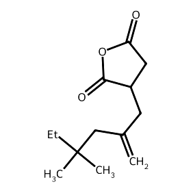 C=C(CC1CC(=O)OC1=O)CC(C)(C)CC